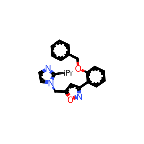 CC(C)c1nccn1Cc1cc(-c2ccccc2OCc2ccccc2)no1